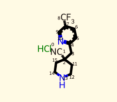 Cl.N#CC1(Cc2ccc(C(F)(F)F)cn2)CCNCC1